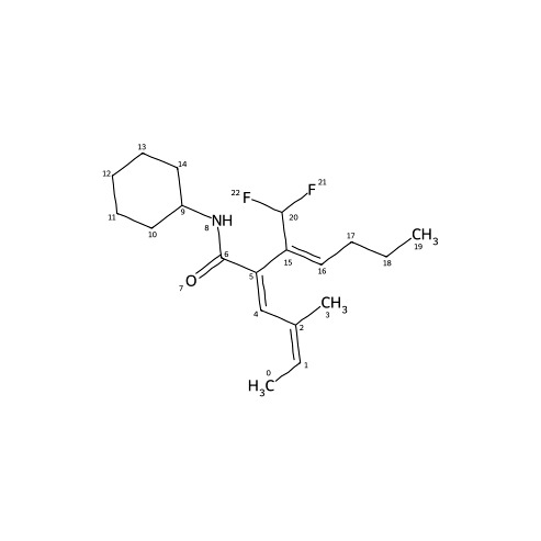 C\C=C(C)/C=C(C(=O)NC1CCCCC1)\C(=C\CCC)C(F)F